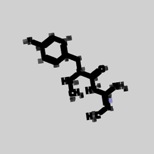 C/N=C(/N)NC(=O)N(Cc1ccc(F)cn1)NC